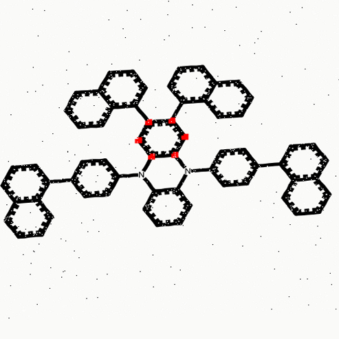 c1ccc(N(c2ccc(-c3cccc4ccccc34)cc2)c2ccc(-c3cccc4ccccc34)cc2)c(N(c2ccc(-c3cccc4ccccc34)cc2)c2ccc(-c3cccc4ccccc34)cc2)c1